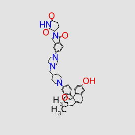 CC(C)CC1=CCc2cc(O)ccc2[C@]1(C=O)c1ccc(N2CCC(CN3CCN(c4ccc5c(c4)CN([C@H]4CCC(=O)NC4=O)C5=O)CC3)CC2)cc1